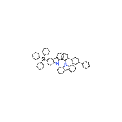 c1ccc(-c2ccc(-c3ccccc3-n3c4ccccc4c4cccc(-n5c6ccccc6c6cc([Si](c7ccccc7)(c7ccccc7)c7ccccc7)ccc65)c43)cc2)cc1